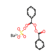 O=C(OOC(=O)c1ccccc1)c1ccccc1.O=S(=O)([O-])[O-].[Ba+2]